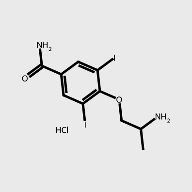 CC(N)COc1c(I)cc(C(N)=O)cc1I.Cl